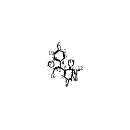 Cc1ccc2c(-c3[c]c(C)nn(C)c3=O)c(C)oc2c1